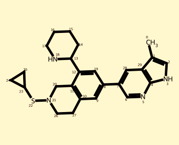 Cc1c[nH]c2ncc(-c3cc4c(c(C5CCCCN5)c3)CN(SC3CC3)CC4)cc12